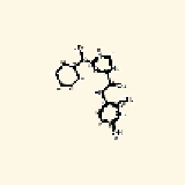 CCN(c1cc(C(=O)Nc2ccc(O)cc2C)ncn1)C1CCCCC1